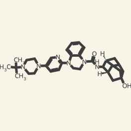 CC(C)(C)N1CCN(c2ccc(N3CCN(C(=O)NC4[C@@H]5CC6C[C@H]4CC(O)(C6)C5)c4ccccc43)nc2)CC1